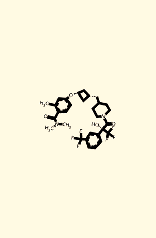 Cc1cc(O[C@H]2C[C@@H](CC3CCN(C(=O)[C@](O)(c4cccc(C(F)(F)F)c4)C(F)(F)F)CC3)C2)ccc1C(=O)N(C)C